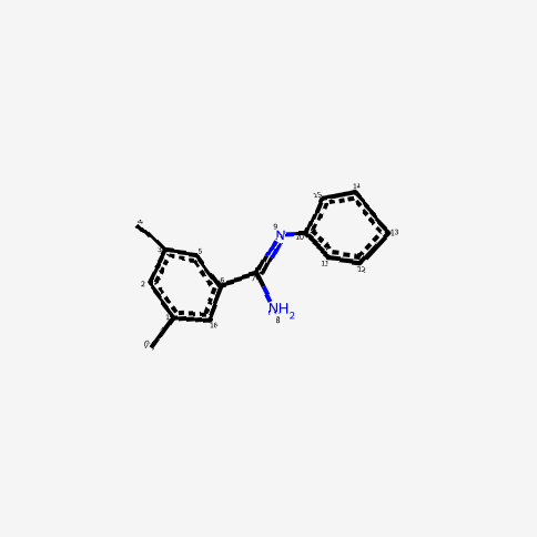 Cc1cc(C)cc(C(N)=Nc2ccccc2)c1